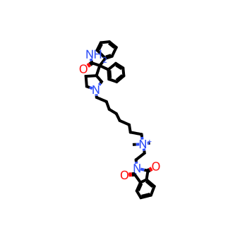 C[N+](C)(CCCCCCCCN1CCC(C(C(N)=O)(c2ccccc2)c2ccccc2)C1)CCN1C(=O)c2ccccc2C1=O